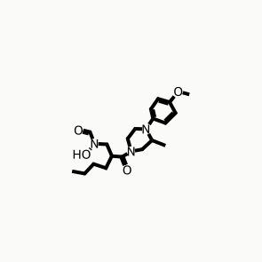 CCCCC(CN(O)C=O)C(=O)N1CCN(c2ccc(OC)cc2)C(C)C1